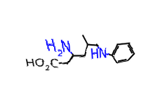 CC(CNc1ccccc1)CC(N)CC(=O)O